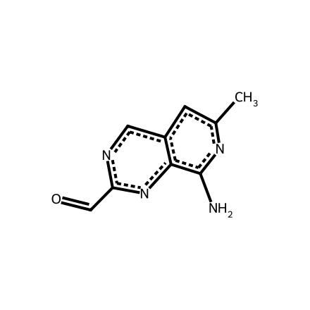 Cc1cc2cnc(C=O)nc2c(N)n1